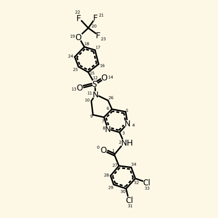 O=C(Nc1ncc2c(n1)CCN(S(=O)(=O)c1ccc(OC(F)(F)F)cc1)C2)c1ccc(Cl)c(Cl)c1